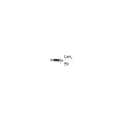 [Ag].[GaH3].[Se]=[In]